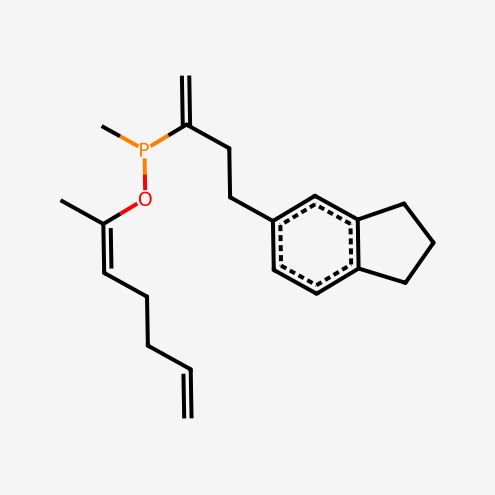 C=CCC/C=C(/C)OP(C)C(=C)CCc1ccc2c(c1)CCC2